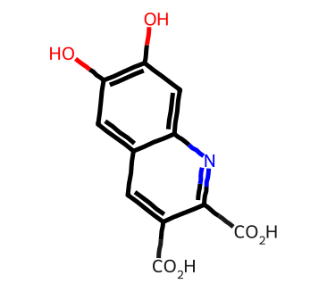 O=C(O)c1cc2cc(O)c(O)cc2nc1C(=O)O